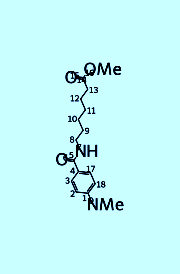 CNc1ccc(C(=O)NCCCCCCC(=O)OC)cc1